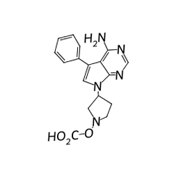 Nc1ncnc2c1c(-c1ccccc1)cn2C1CCN(OC(=O)O)C1